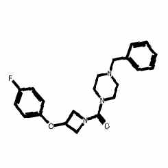 O=C(N1CCN(Cc2ccccc2)CC1)N1CC(Oc2ccc(F)cc2)C1